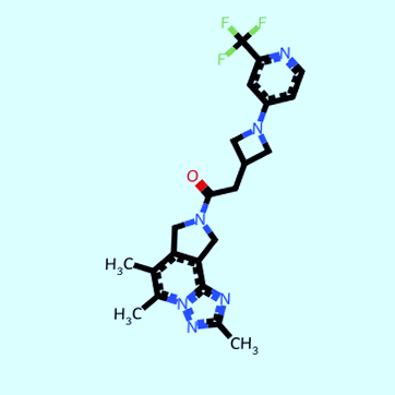 Cc1nc2c3c(c(C)c(C)n2n1)CN(C(=O)CC1CN(c2ccnc(C(F)(F)F)c2)C1)C3